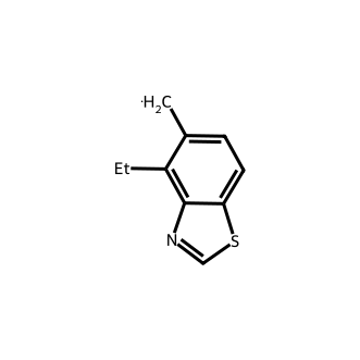 [CH2]c1ccc2scnc2c1CC